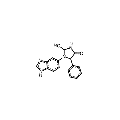 O=C1NC(O)N(c2ccc3[nH]cnc3c2)C1c1ccccc1